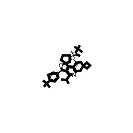 CC(C)c1nc2c(c3c1[C@@H](c1ccc(C(C)(C)C)cc1)OC31CCCC1)[C@@H](O[Si](C)(C)C(C)(C)C)CC1(CCC1)C2